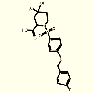 CC1(O)CCN(S(=O)(=O)c2ccc(OCc3ccc(F)cc3)cc2)C(C(=O)O)C1